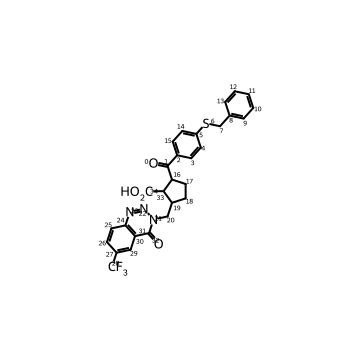 O=C(c1ccc(SCc2ccccc2)cc1)C1CCC(Cn2nnc3ccc(C(F)(F)F)cc3c2=O)C1C(=O)O